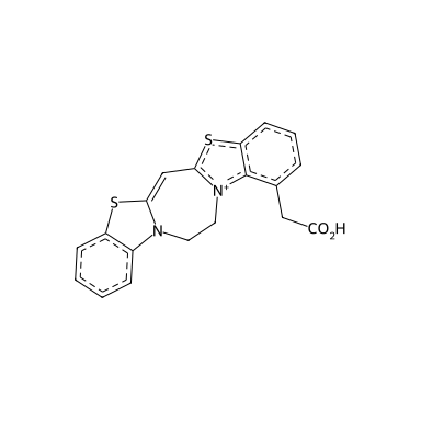 O=C(O)Cc1cccc2sc3[n+](c12)CCN1C(=C3)Sc2ccccc21